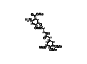 COC(=O)c1cc(OCCCNC(=O)Cc2cc(OC)c(OC)c(OC)c2)c(OC)cc1N